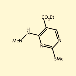 CCOC(=O)c1cnc(SC)nc1NNC